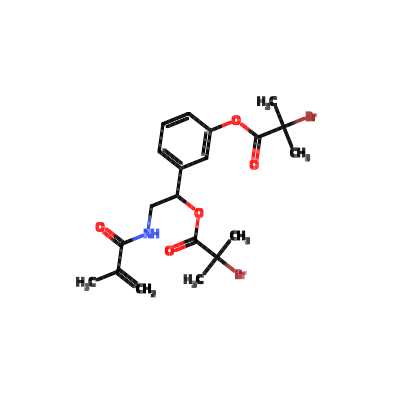 C=C(C)C(=O)NCC(OC(=O)C(C)(C)Br)c1cccc(OC(=O)C(C)(C)Br)c1